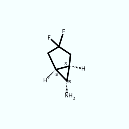 N[C@@H]1[C@H]2CC(F)(F)C[C@@H]12